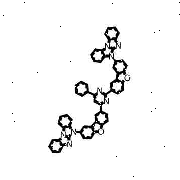 c1ccc(-c2cc(-c3ccc4oc5ccc(-n6c7ccccc7n7c8ccccc8nc67)cc5c4c3)nc(-c3ccc4oc5ccc(-n6c7ccccc7n7c8ccccc8nc67)cc5c4c3)n2)cc1